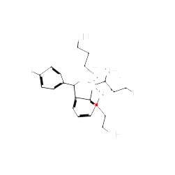 CCCCNP1(NCCCC)(C(N)CCC)OC(c2ccc(Cl)cc2)c2ccccc21